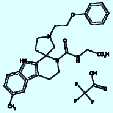 Cc1ccc2[nH]c3c(c2c1)CCN(C(=O)NCC(=O)O)C31CCN(CCOc2ccccc2)C1.O=C(O)C(F)(F)F